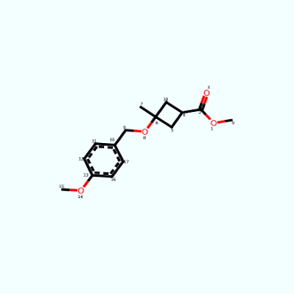 COC(=O)C1CC(C)(OCc2ccc(OC)cc2)C1